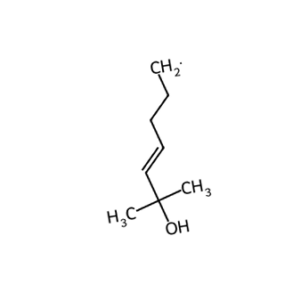 [CH2]CC/C=C/C(C)(C)O